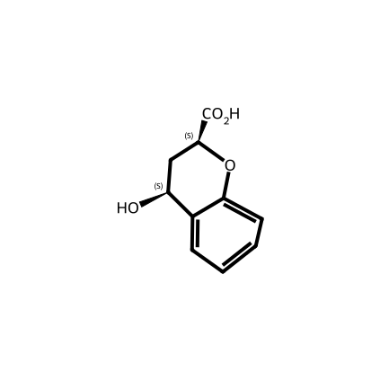 O=C(O)[C@@H]1C[C@H](O)c2ccccc2O1